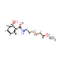 O=C(NCCSSCCO[N+](=O)[O-])c1ccccc1O